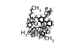 CCCCC1=NC2(CCCC2)C(=O)N1Cc1ccc(-c2ccccc2S(=O)(=O)N(COCC[Si](C)(C)C)c2noc(C)c2Cl)c(COC(F)(F)F)c1